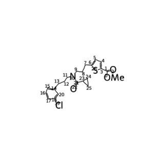 COC(=O)c1ccc(CCCN(CCCc2cccc(Cl)c2)C(=O)C2CC2)s1